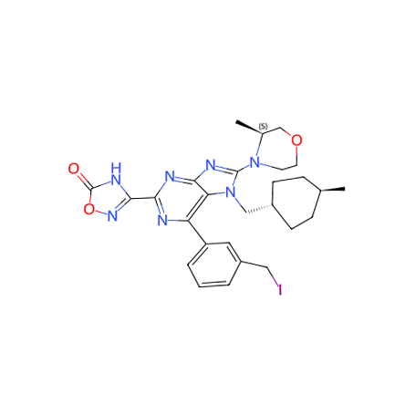 C[C@H]1COCCN1c1nc2nc(-c3noc(=O)[nH]3)nc(-c3cccc(CI)c3)c2n1C[C@H]1CC[C@H](C)CC1